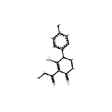 CCC(=O)C1=C(O)C(c2ccc(C)cc2)CCC1=O